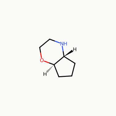 C1C[C@H]2NCCO[C@@H]2C1